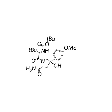 COc1ccc([C@]2(O)C[C@@H](C(N)=O)N(C(=O)C(NC(=O)OC(C)(C)C)C(C)(C)C)C2)cc1